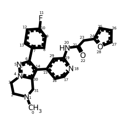 CN1CCn2nc(-c3ccc(F)cc3)c(-c3ccnc(NC(=O)Cc4ccco4)c3)c2C1